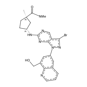 CNC(=O)[C@]1(C)CC[C@@H](Nc2ncc3c(Br)nn(-c4cc(CO)c5ncccc5c4)c3n2)C1